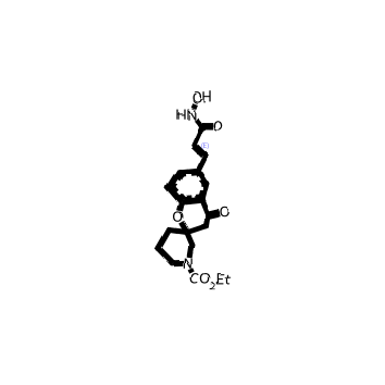 CCOC(=O)N1CCCC2(CC(=O)c3cc(/C=C/C(=O)NO)ccc3O2)C1